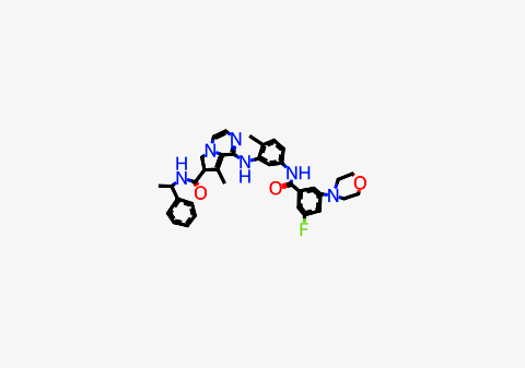 CC1=C2C(Nc3cc(NC(=O)c4cc(F)cc(N5CCOCC5)c4)ccc3C)=NC=CN2CC1C(=O)NC(C)c1ccccc1